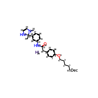 CCCCCCCCCCCCCCOc1ccc(CC(=O)Nc2cccc(C3(C)NC=CN3C)c2)cc1.I